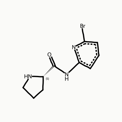 O=C(Nc1cccc(Br)n1)[C@@H]1CCCN1